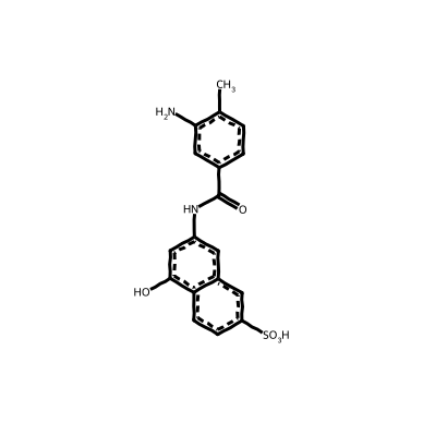 Cc1ccc(C(=O)Nc2cc(O)c3ccc(S(=O)(=O)O)cc3c2)cc1N